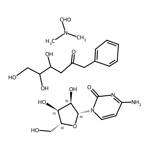 CN(C)C=O.Nc1ccn([C@@H]2O[C@H](CO)[C@@H](O)[C@H]2O)c(=O)n1.O=C(Cc1ccccc1)CC(O)C(O)CO